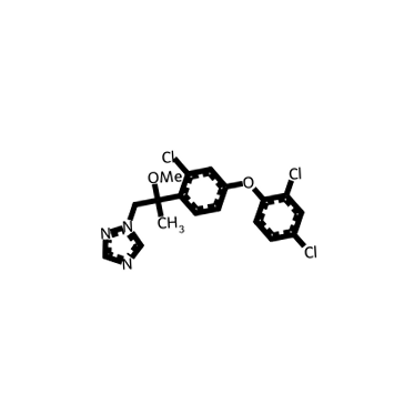 COC(C)(Cn1cncn1)c1ccc(Oc2ccc(Cl)cc2Cl)cc1Cl